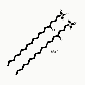 CCCCCCCCCCCCCCC(O)CCCS(=O)(=O)[O-].CCCCCCCCCCCCCCC(O)CCCS(=O)(=O)[O-].[Mg+2]